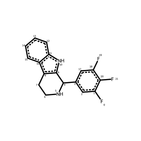 Fc1cc(C2NCCc3c2[nH]c2ccccc32)cc(F)c1F